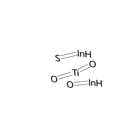 [O]=[InH].[O]=[Ti]=[O].[S]=[InH]